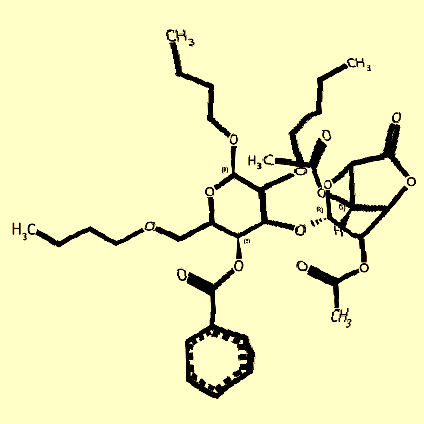 CCCCOCC1O[C@@H](OCCCC)C(OCCCC)C(O[C@@H]2OC3C(=O)OC(C2OC(C)=O)[C@@H]3OC(C)=O)[C@H]1OC(=O)c1ccccc1